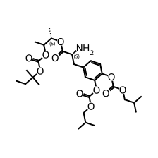 CCC(C)(C)OC(=O)OC(C)[C@H](C)OC(=O)[C@@H](N)Cc1ccc(OC(=O)OCC(C)C)c(OC(=O)OCC(C)C)c1